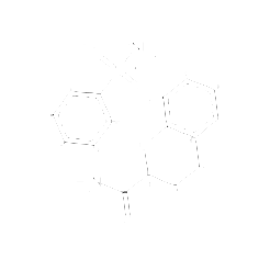 NC(=O)C1CCc2ccccc2O1.NS(=O)(=O)c1ccccc1